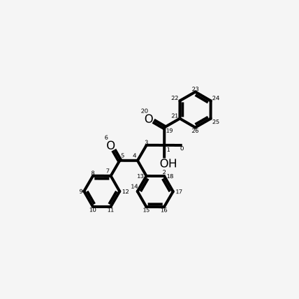 CC(O)(CC(C(=O)c1ccccc1)c1ccccc1)C(=O)c1ccccc1